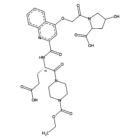 CCOC(=O)N1CCN(C(=O)[C@H](CCC(=O)O)NC(=O)c2cc(OCC(=O)N3CC(O)CC3C(=O)O)c3ccccc3n2)CC1